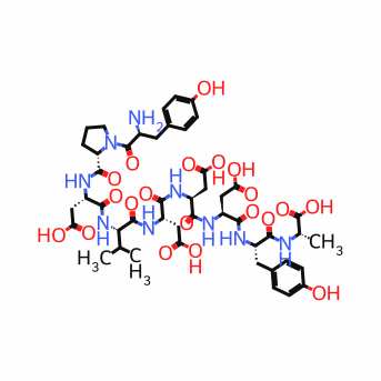 CC(C)[C@H](NC(=O)[C@H](CC(=O)O)NC(=O)[C@@H]1CCCN1C(=O)[C@@H](N)Cc1ccc(O)cc1)C(=O)N[C@@H](CC(=O)O)C(=O)N[C@@H](CC(=O)O)C(=O)N[C@@H](CC(=O)O)C(=O)N[C@@H](Cc1ccc(O)cc1)C(=O)N[C@@H](C)C(=O)O